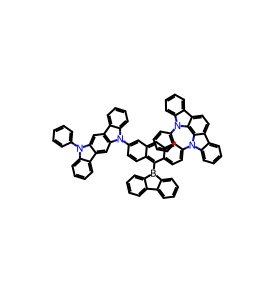 c1ccc(-n2c3ccccc3c3cc4c(cc32)c2ccccc2n4-c2ccc3c(B4c5ccccc5-c5ccccc54)c4ccc(-n5c6ccccc6c6ccc7c8ccccc8n(-c8ccccc8)c7c65)cc4cc3c2)cc1